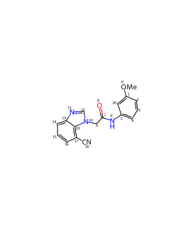 COc1cccc(NC(=O)Cn2cnc3cccc(C#N)c32)c1